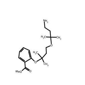 COC(=O)c1ccccc1OC(C)(C)CCOC(C)(C)CCN